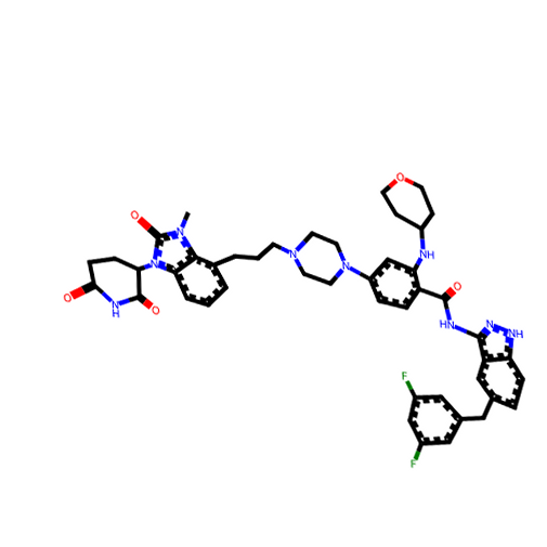 Cn1c(=O)n(C2CCC(=O)NC2=O)c2cccc(CCCN3CCN(c4ccc(C(=O)Nc5n[nH]c6ccc(Cc7cc(F)cc(F)c7)cc56)c(NC5CCOCC5)c4)CC3)c21